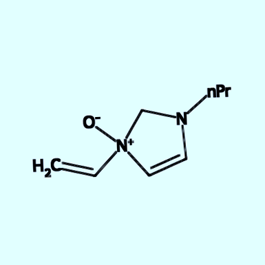 C=C[N+]1([O-])C=CN(CCC)C1